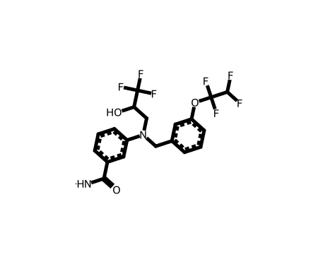 [NH]C(=O)c1cccc(N(Cc2cccc(OC(F)(F)C(F)F)c2)CC(O)C(F)(F)F)c1